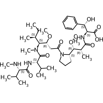 CC[C@H](C)[C@@H]([C@@H](CC(=O)N1CCC[C@H]1[C@H](OC)[C@@H](C)C(=O)N[C@H](C(=O)O)[C@@H](O)c1ccccc1)OC)N(C)C(=O)[C@@H](NC(=O)[C@@H](NC)C(C)C)C(C)C